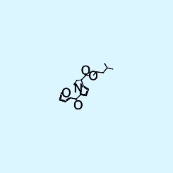 CC(C)CCOC(=O)C1CCn2c(C(=O)c3ccco3)ccc21